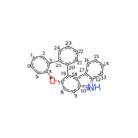 c1ccc2c(c1)Oc1ccc3[nH]c4ccccc4c3c1-c1ccccc1-2